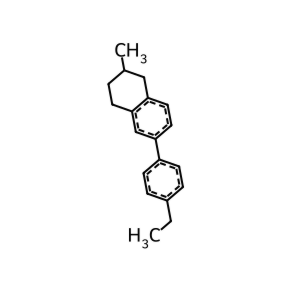 CCc1ccc(-c2ccc3c(c2)CCC(C)C3)cc1